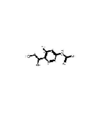 O=C(O)Nc1cnc(C(O)CO)c(F)c1